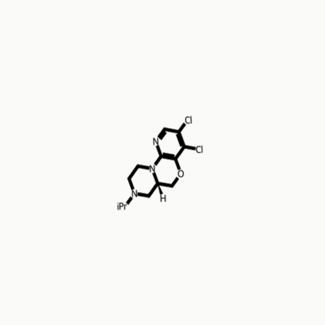 CC(C)N1CCN2c3ncc(Cl)c(Cl)c3OC[C@@H]2C1